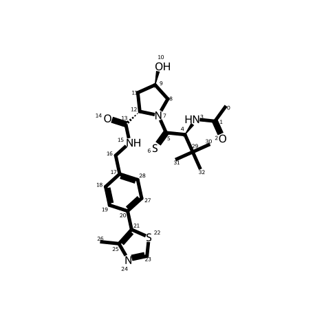 CC(=O)N[C@H](C(=S)N1C[C@H](O)C[C@H]1C(=O)NCc1ccc(-c2scnc2C)cc1)C(C)(C)C